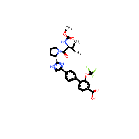 COC(=O)N[C@H](C(=O)N1CCC[C@H]1c1nc(-c2ccc(-c3ccc(C(=O)O)cc3OC(F)(F)F)cc2)c[nH]1)C(C)C